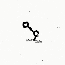 COC(OC)c1cc(C#Cc2ccccc2)ccn1